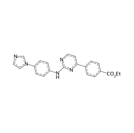 CCOC(=O)c1ccc(-c2ccnc(Nc3ccc(-n4ccnc4)cc3)n2)cc1